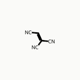 N#CC=C(C#N)C#N